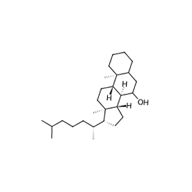 CC(C)CCC[C@@H](C)[C@H]1CC[C@H]2[C@@H]3C(O)CC4CCCC[C@]4(C)[C@H]3CC[C@]12C